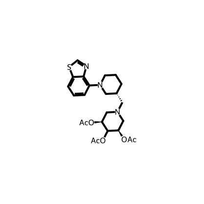 CC(=O)OC1[C@@H](OC(C)=O)CN(C[C@H]2CCCN(c3cccc4scnc34)C2)C[C@H]1OC(C)=O